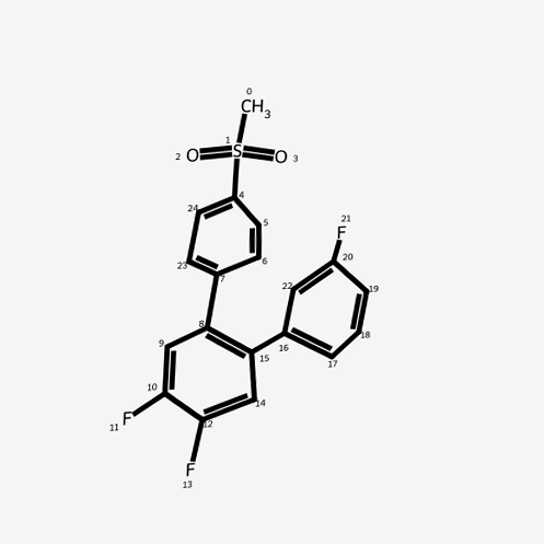 CS(=O)(=O)c1ccc(-c2cc(F)c(F)cc2-c2cccc(F)c2)cc1